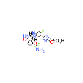 CC(C)(OS(=O)(=O)O)c1ncc(-c2cc3c(cc2F)nc2n3[C@@H]3C[C@H]2NC(=O)c2cccc(OC(F)F)c23)cn1.N